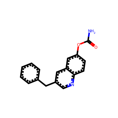 NC(=O)Oc1ccc2ncc(Cc3ccccc3)cc2c1